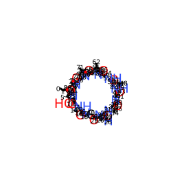 C/C=C/C[C@@H](C)[C@@H](O)[C@H]1C(=O)N[C@@H](CC)C(=O)N(C)CC(=O)N(C)[C@@H](C(C)CC)C(=O)N[C@@H](C(C)C)C(=O)N(C)[C@@H](C)C(=O)N[C@@H](CC(C)C)C(=O)N[C@H](C)C(=O)N(C)[C@@H](CC(C)C)C(=O)N(C)[C@H](CC(C)C)C(=O)N(C)[C@@H](C(C)C)C(=O)N1C